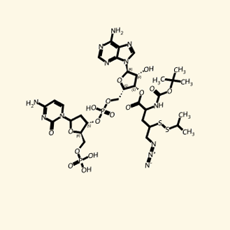 CC(C)SSC(CN=[N+]=[N-])CC(NC(=O)OC(C)(C)C)C(=O)O[C@H]1[C@@H](O)[C@H](n2cnc3c(N)ncnc32)O[C@H]1COP(=O)(O)O[C@H]1CC(n2ccc(N)nc2=O)O[C@@H]1COP(=O)(O)O